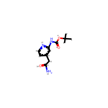 CC(C)(C)OC(=O)Nc1cc(CC(N)=O)ccn1